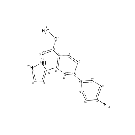 COC(=O)c1ccc(-c2ccc(F)cc2)nc1-c1ccn[nH]1